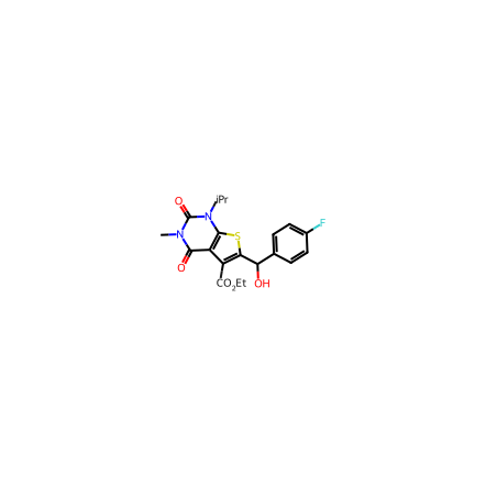 CCOC(=O)c1c(C(O)c2ccc(F)cc2)sc2c1c(=O)n(C)c(=O)n2C(C)C